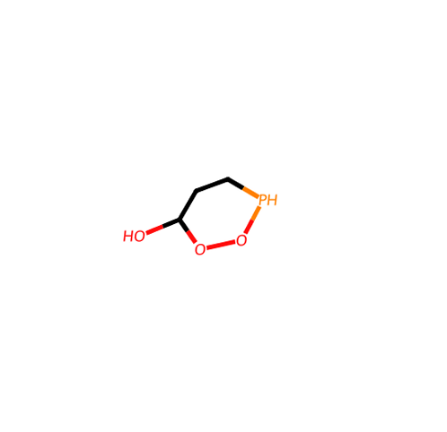 OC1CCPOO1